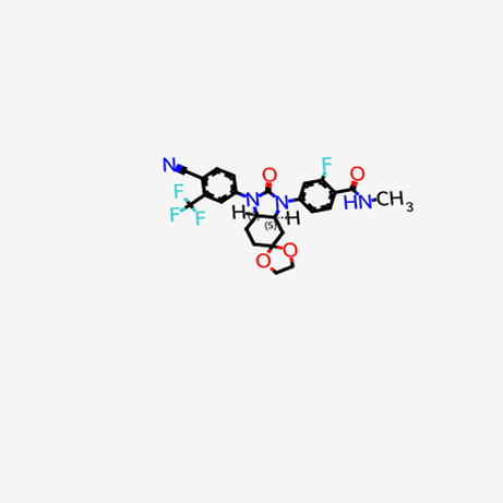 CNC(=O)c1ccc(N2C(=O)N(c3ccc(C#N)c(C(F)(F)F)c3)[C@H]3CCC4(C[C@@H]32)OCCO4)cc1F